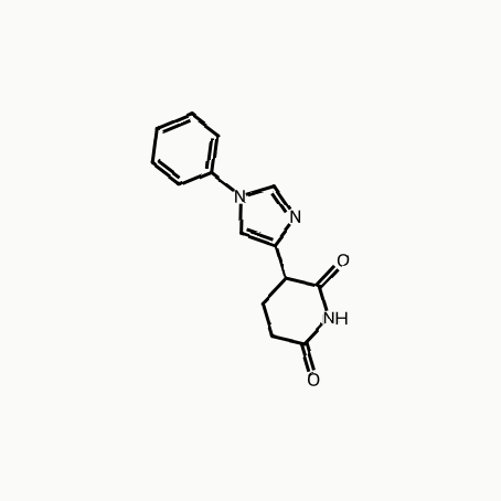 O=C1CCC(c2cn(-c3ccccc3)cn2)C(=O)N1